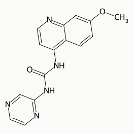 COc1ccc2c(NC(=O)Nc3cnccn3)ccnc2c1